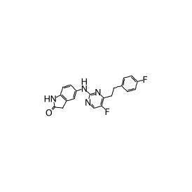 O=C1Cc2cc(Nc3ncc(F)c(CCc4ccc(F)cc4)n3)ccc2N1